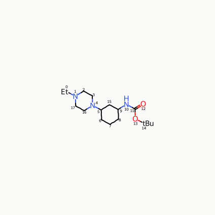 CCN1CCN(C2CCCC(NC(=O)OC(C)(C)C)C2)CC1